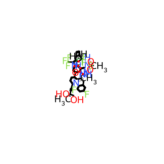 Cn1nc(NS(C)(=O)=O)c2c(Cl)ccc(-c3ccc(C#CC(C)(O)CO)nc3[C@H](Cc3cc(F)cc(F)c3)NC(=O)Cn3nc(C(F)(F)F)c4c3C(F)(F)[C@@H]3C#C[C@H]43)c21